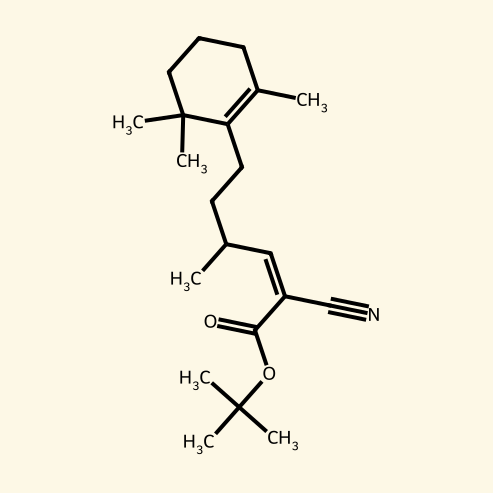 CC1=C(CCC(C)C=C(C#N)C(=O)OC(C)(C)C)C(C)(C)CCC1